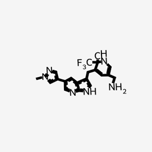 Cn1cc(-c2cnc3[nH]cc(CC4=CC(CN)=CNC4(Cl)C(F)(F)F)c3c2)cn1